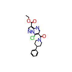 CCOC(=O)c1cnn2c(Cl)c(C(=O)N3CCC(c4ccccc4)CC3)cnc12